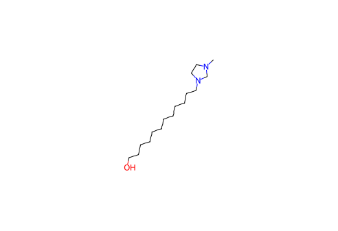 CN1CCN(CCCCCCCCCCCCO)C1